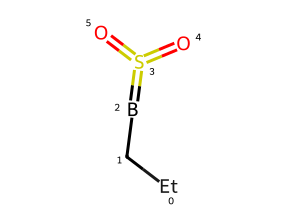 CCCB=S(=O)=O